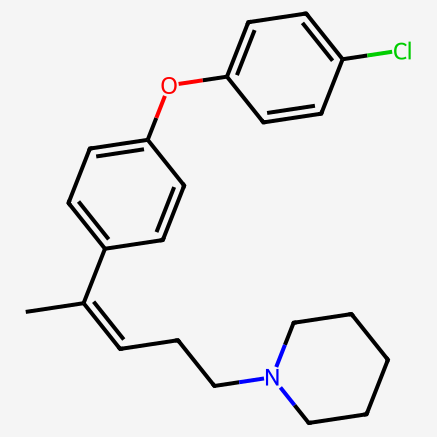 CC(=CCCN1CCCCC1)c1ccc(Oc2ccc(Cl)cc2)cc1